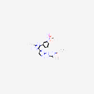 COC(=O)N[C@@H](C)CNc1nccc(-c2[nH]c(C(C)(C)C)nc2-c2cc(Cl)cc(NS(=O)(=O)CC(F)(F)F)c2)n1